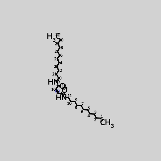 CCCCCCCCCCCCNC(=O)/C=C\C(=O)NCCCCCCCCCCCC